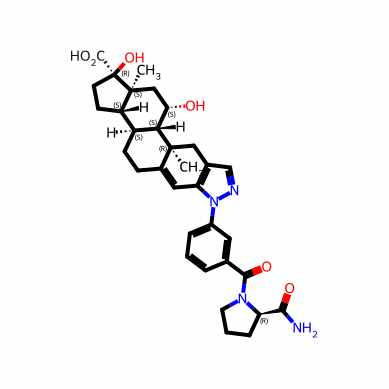 C[C@]12Cc3cnn(-c4cccc(C(=O)N5CCC[C@@H]5C(N)=O)c4)c3C=C1CC[C@@H]1[C@@H]2[C@@H](O)C[C@@]2(C)[C@H]1CC[C@]2(O)C(=O)O